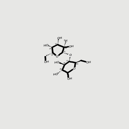 [2H][C@]1(O)[C@H](O[C@H]2[C@H](O)[C@@H](O)C(O)O[C@@H]2CO)O[C@H](CO)[C@H](O)[C@@H]1O